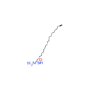 C#CCCCCCCCCCCCCCCCCCC(=O)CC(N)NC